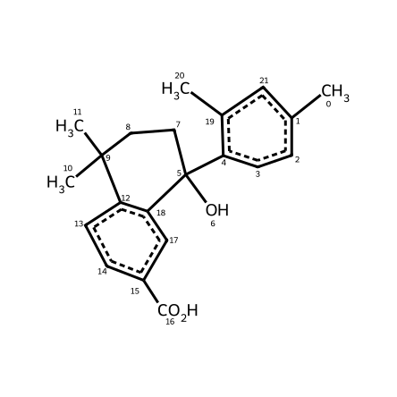 Cc1ccc(C2(O)CCC(C)(C)c3ccc(C(=O)O)cc32)c(C)c1